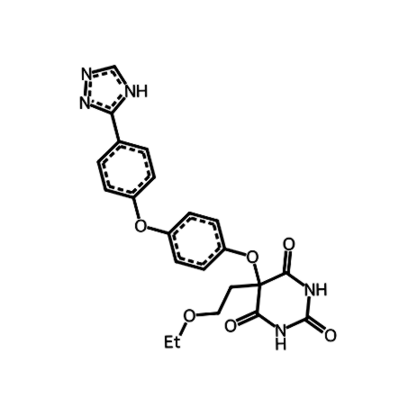 CCOCCC1(Oc2ccc(Oc3ccc(-c4nnc[nH]4)cc3)cc2)C(=O)NC(=O)NC1=O